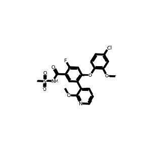 COc1cc(Cl)ccc1Oc1cc(F)c(C(=O)NS(C)(=O)=O)cc1-c1cccnc1OC